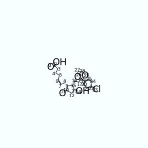 O=C(O)CCC/C=C\C[C@H]1C(=O)C[C@@H](O)[C@@H]1CCC1(c2ccc(Cl)cc2)OCCO1